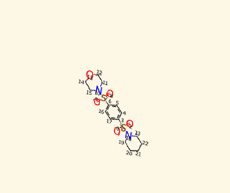 O=S(=O)(c1ccc(S(=O)(=O)N2CCOCC2)cc1)N1CCCCC1